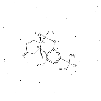 CCCCCCC(C)(C)c1cc(OC)c2c(c1)OC(C)(C)[C@H]1CCC(=O)C[C@@H]21